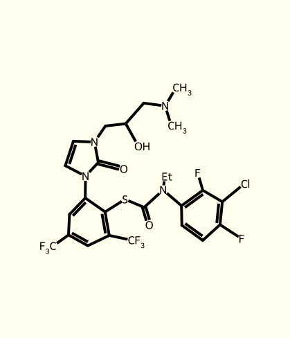 CCN(C(=O)Sc1c(-n2ccn(CC(O)CN(C)C)c2=O)cc(C(F)(F)F)cc1C(F)(F)F)c1ccc(F)c(Cl)c1F